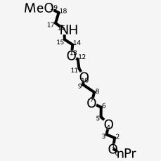 CCCOCCOCCOCCOCCOCCNCCOC